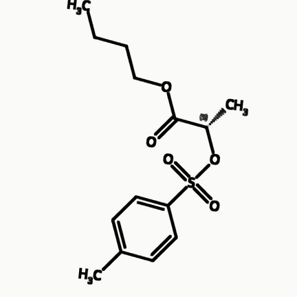 CCCCOC(=O)[C@H](C)OS(=O)(=O)c1ccc(C)cc1